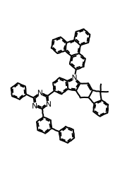 CC1(C)C2=Cc3c(c4cc(-c5nc(-c6ccccc6)nc(-c6cccc(-c7ccccc7)c6)n5)ccc4n3-c3ccc4c5ccccc5c5ccccc5c4c3)CC2c2ccccc21